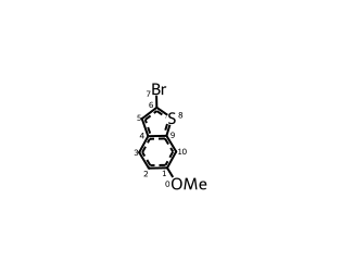 COc1ccc2cc(Br)sc2c1